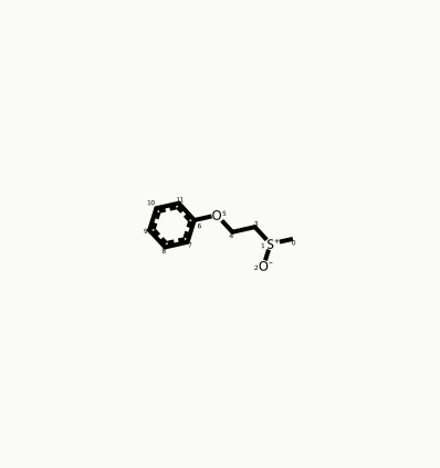 C[S+]([O-])CCOc1cc[c]cc1